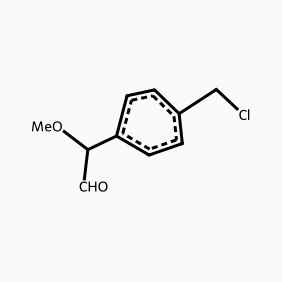 COC(C=O)c1ccc(CCl)cc1